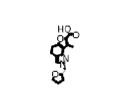 Cc1c(C(=O)O)oc2c1-c1nn(C[C@@H]3CCCO3)cc1CC2